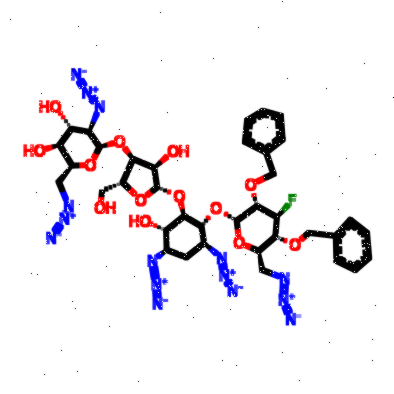 [N-]=[N+]=NC[C@@H]1O[C@H](O[C@H]2[C@@H](O)[C@H](O[C@@H]3[C@@H](O)[C@H](N=[N+]=[N-])C[C@H](N=[N+]=[N-])[C@H]3O[C@H]3O[C@H](CN=[N+]=[N-])[C@@H](OCc4ccccc4)[C@H](F)[C@H]3OCc3ccccc3)O[C@@H]2CO)[C@H](N=[N+]=[N-])[C@@H](O)[C@@H]1O